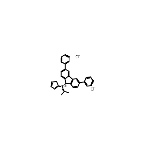 C[C](C)=[Ti+2]([C]1=CC=CC1)[CH]1c2ccc(-c3ccccc3)cc2-c2cc(-c3ccccc3)ccc21.[Cl-].[Cl-]